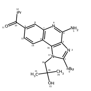 CCCCc1nc2c(N)nc3cc(C(=O)C(C)C)ccc3c2n1CC(C)(C)O